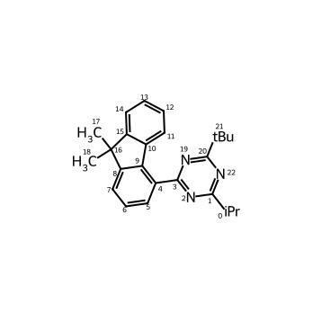 CC(C)c1nc(-c2cccc3c2-c2ccccc2C3(C)C)nc(C(C)(C)C)n1